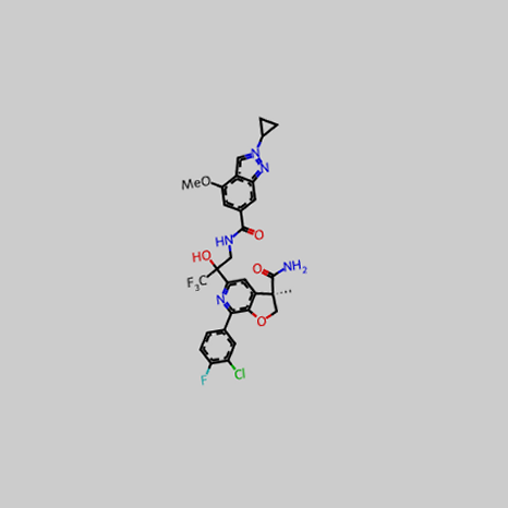 COc1cc(C(=O)NCC(O)(c2cc3c(c(-c4ccc(F)c(Cl)c4)n2)OC[C@]3(C)C(N)=O)C(F)(F)F)cc2nn(C3CC3)cc12